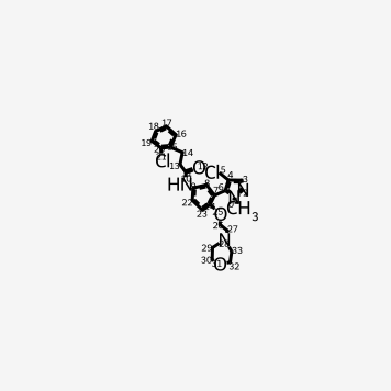 Cn1ncc(Cl)c1-c1cc(NC(=O)CCc2ccccc2Cl)ccc1OCCN1CCOCC1